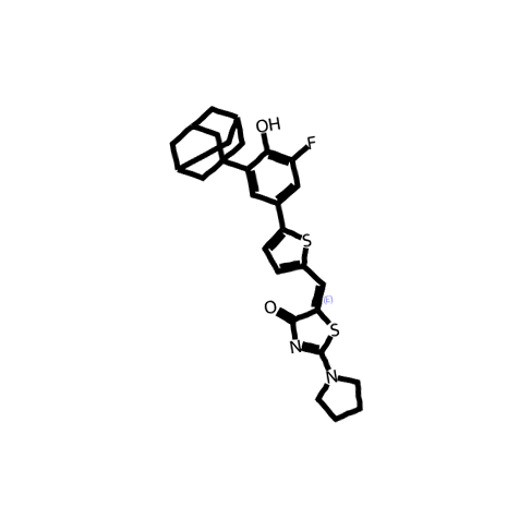 O=C1N=C(N2CCCC2)S/C1=C/c1ccc(-c2cc(F)c(O)c(C34CC5CC(CC(C5)C3)C4)c2)s1